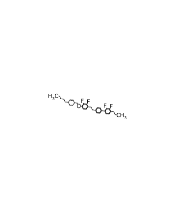 CCCCCC1C=CC(COc2ccc(CCc3ccc(-c4ccc(CCC)c(F)c4F)cc3)c(F)c2F)CC1